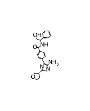 Nc1ncc([C@H]2CCOC2)nc1-c1ccc(C(=O)NC(CO)c2ccccc2)cc1